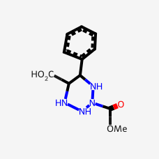 COC(=O)N1NNC(C(=O)O)C(c2ccccc2)N1